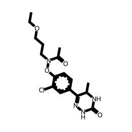 CCOCCCN(Oc1ccc(C2=NNC(=O)NC2C)cc1Cl)C(C)=O